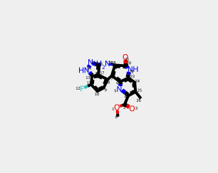 COC(=O)c1nc2c(-c3ccc(F)c4[nH]ncc34)c(N)c(=O)[nH]c2cc1C